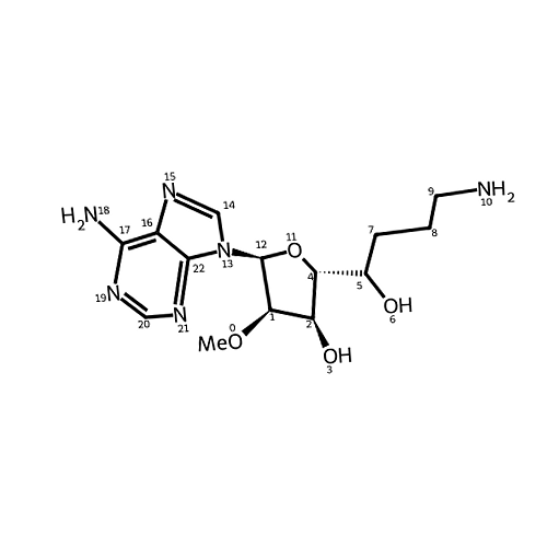 CO[C@@H]1[C@H](O)[C@@H](C(O)CCCN)O[C@@H]1n1cnc2c(N)ncnc21